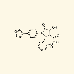 CC(C)(C)C(=O)C1=C(O)C(=O)N(c2ccc(-c3ccon3)cc2)C1c1ccccc1O